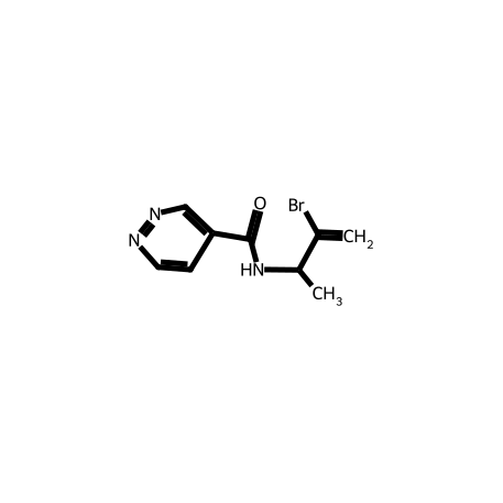 C=C(Br)C(C)NC(=O)c1ccnnc1